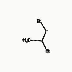 [CH2]C([CH]CC)CC